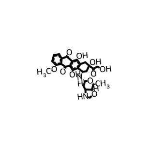 COc1cccc2c1C(=O)c1c(O)c3c(c(O)c1C2=O)C[C@@](O)(C(=O)CO)C[C@@H]3N[C@H]1CC2NCO[C@@H]2[C@H](C)O1